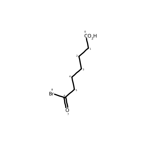 O=C(O)CCCCCC(=O)Br